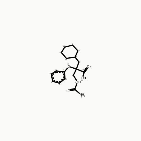 NC(=O)NCC(CC1CCCCC1)(Oc1ccccc1)C(=O)O